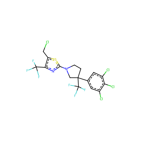 FC(F)(F)c1nc(N2CCC(c3cc(Cl)c(Cl)c(Cl)c3)(C(F)(F)F)C2)sc1CCl